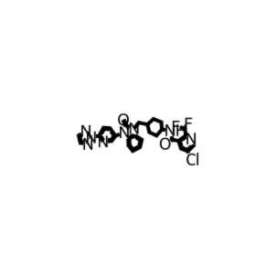 O=C(NC1CCC(Cn2c(=O)n(-c3ccc(-n4nccn4)nc3)c3ccccc32)CC1)c1cc(Cl)cnc1C(F)F